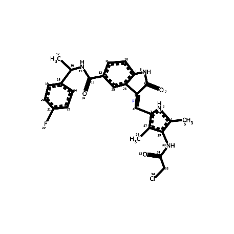 Cc1[nH]c(/C=C2\C(=O)Nc3ccc(C(=O)NC(C)c4ccc(F)cc4)cc32)c(C)c1NC(=O)CCl